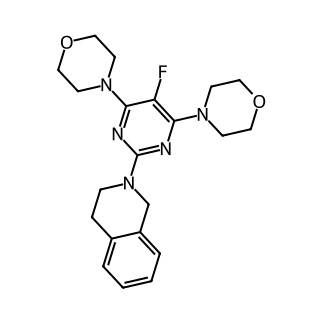 Fc1c(N2CCOCC2)nc(N2CCc3ccccc3C2)nc1N1CCOCC1